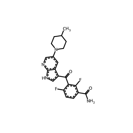 CC1CCN(c2cnc3[nH]cc(C(=O)c4c(F)ccc(C(N)=O)c4F)c3c2)CC1